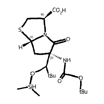 C[SiH](C)OC(C(C)(C)C)[C@@]1(NC(=O)OC(C)(C)C)C[C@@H]2SC[C@@H](C(=O)O)N2C1=O